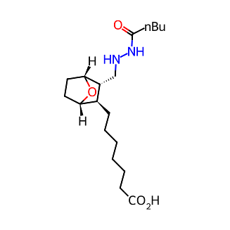 CCCCC(=O)NNC[C@@H]1[C@@H](CCCCCCC(=O)O)[C@@H]2CC[C@H]1O2